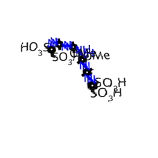 COc1cc(N=Nc2cc(C)c(N=Nc3ccc(S(=O)(=O)O)cc3S(=O)(=O)O)cc2C)c(C)cc1NCNc1cc(C)c(N=Nc2cc(C)c(/N=N\c3ccc(CS(=O)(=O)O)cc3S(=O)(=O)O)cc2C)cc1OC